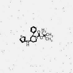 CC(C)(C)OC(=O)N1CCC(Nc2ccsc2)C[C@H]1c1ccccc1